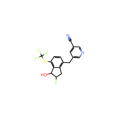 N#Cc1cncc(Cc2ccc(SC(F)(F)F)c3c2CC(F)C3O)c1